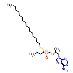 CCCCCCCCCCCCCCCCSSC(CCC)[PH](=O)COC(C)Cn1cnc2c(N)ncnc21